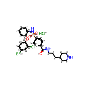 Cl.O=C(NCCCC1CCNCC1)c1ccc(S(=O)(=O)Nc2ccccc2Oc2ccc(Br)cc2Cl)cc1